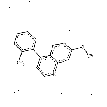 Cc1ccccc1-c1ccnc2cc(OC(C)C)ccc12